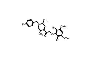 COc1cc(OC)c(Br)c(OCC(=O)N2CC(C)N(Cc3ccc(F)cc3)CC2C)c1Br